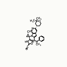 C[C@H]1C[C@]1(C1=NOC(=C=O)N1)n1c(C(=O)N(C)c2ccccc2)cc2cc([C@H]3CCOC(C)(C)C3)ncc21